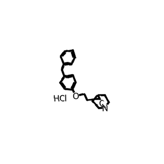 Cl.c1ccc(Cc2ccc(OCCC3CN4CCC3CC4)cc2)cc1